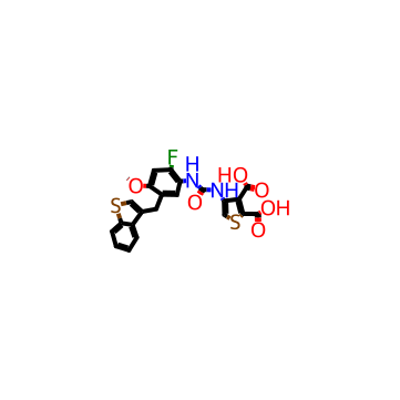 COc1cc(F)c(NC(=O)Nc2csc(C(=O)O)c2C(=O)O)cc1Cc1csc2ccccc12